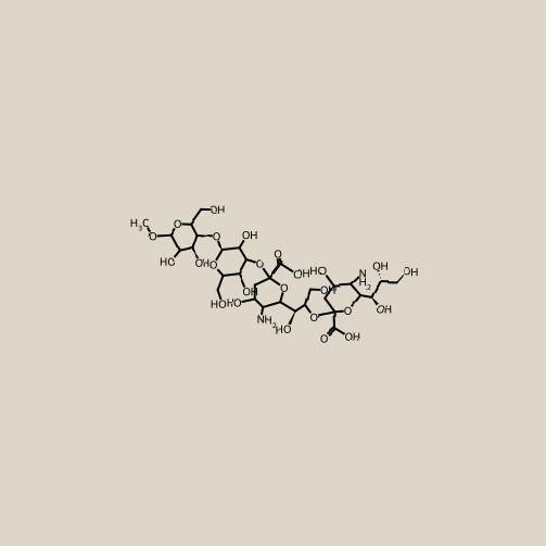 COC1OC(CO)C(OC2OC(CO)C(O)C(OC3(C(=O)O)CC(O)C(N)C([C@H](O)C(CO)OC4(C(=O)O)CC(O)C(N)C([C@H](O)[C@H](O)CO)O4)O3)C2O)C(O)C1O